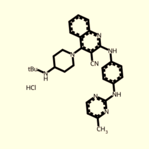 Cc1ccnc(Nc2ccc(Nc3nc4ccccc4c(N4CCC(NC(C)(C)C)CC4)c3C#N)cc2)n1.Cl